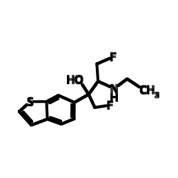 CCNC(CF)C(O)(CF)c1ccc2ccsc2c1